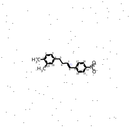 Cc1ccc(CC/C=C/c2ccc([N+](=O)[O-])cc2)cc1C